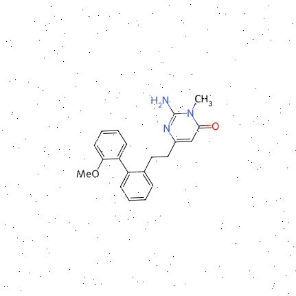 COc1ccccc1-c1ccccc1CCc1cc(=O)n(C)c(N)n1